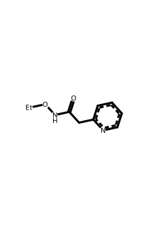 CCONC(=O)Cc1ccccn1